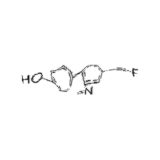 C#N.Oc1ccc(-c2ccc(C#CF)cc2)cc1